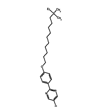 CCCCCCCCOc1cnc(-c2ccc(OCCCCCCCCCC[Si](C)(C)CC)cc2)nc1